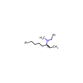 C/C=C(/CCCCC(C)C)N(C)CC(C)C